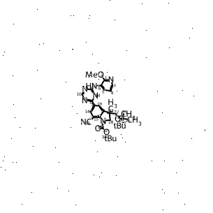 COc1ncccc1Nc1ncnc(-c2cc(C#N)c3c(c2)[C@@](C)(CO[Si](C)(C)C(C)(C)C)CN3C(=O)OC(C)(C)C)n1